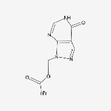 CCCC(=O)OCn1ncc2c(=O)[nH]cnc21